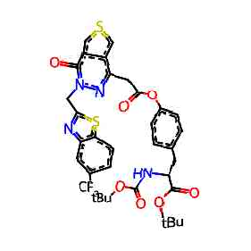 CC(C)(C)OC(=O)N[C@@H](Cc1ccc(OC(=O)Cc2nn(Cc3nc4cc(C(F)(F)F)ccc4s3)c(=O)c3cscc23)cc1)C(=O)OC(C)(C)C